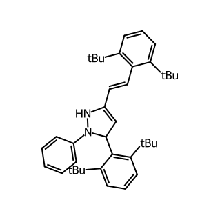 CC(C)(C)c1cccc(C(C)(C)C)c1C=CC1=CC(c2c(C(C)(C)C)cccc2C(C)(C)C)N(c2ccccc2)N1